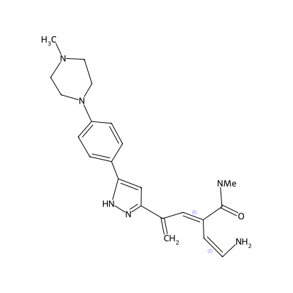 C=C(/C=C(\C=C/N)C(=O)NC)c1cc(-c2ccc(N3CCN(C)CC3)cc2)[nH]n1